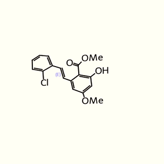 COC(=O)c1c(O)cc(OC)cc1/C=C/c1ccccc1Cl